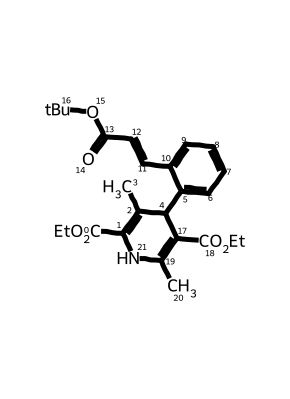 CCOC(=O)C1=C(C)C(c2ccccc2/C=C/C(=O)OC(C)(C)C)C(C(=O)OCC)=C(C)N1